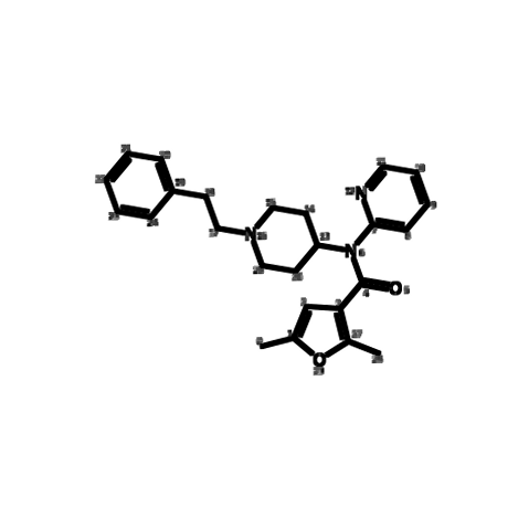 Cc1cc(C(=O)N(c2ccccn2)C2CCN(CCc3ccccc3)CC2)c(C)o1